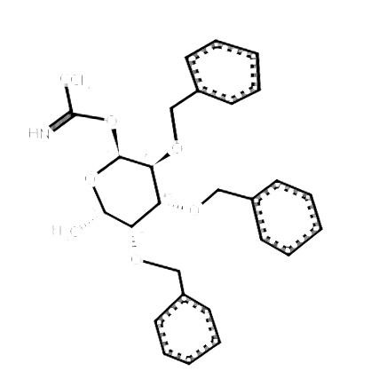 C[C@@H]1O[C@@H](OC(=N)C(Cl)(Cl)Cl)[C@@H](OCc2ccccc2)[C@H](OCc2ccccc2)[C@@H]1OCc1ccccc1